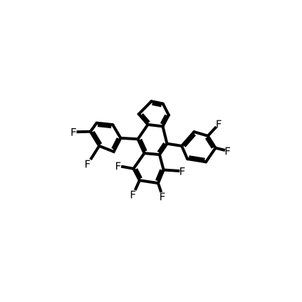 Fc1ccc(-c2c3ccccc3c(-c3ccc(F)c(F)c3)c3c(F)c(F)c(F)c(F)c23)cc1F